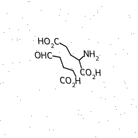 NC(CCC(=O)O)C(=O)O.O=CCCCC(=O)O